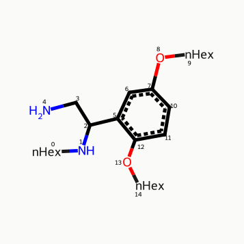 CCCCCCNC(CN)c1cc(OCCCCCC)ccc1OCCCCCC